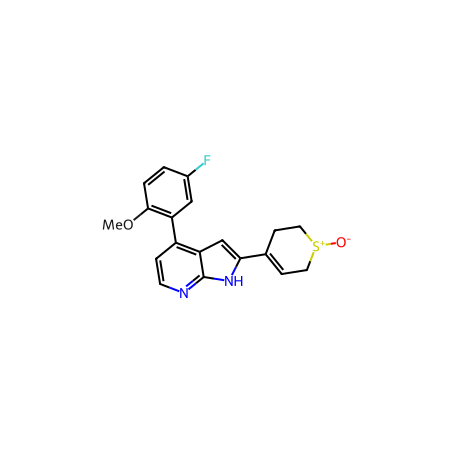 COc1ccc(F)cc1-c1ccnc2[nH]c(C3=CC[S+]([O-])CC3)cc12